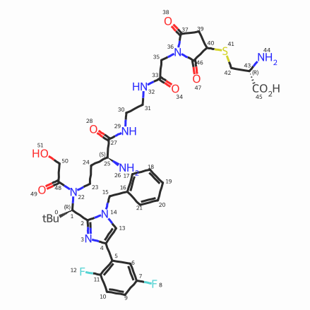 CC(C)(C)[C@H](c1nc(-c2cc(F)ccc2F)cn1Cc1ccccc1)N(CC[C@H](N)C(=O)NCCNC(=O)CN1C(=O)CC(SC[C@H](N)C(=O)O)C1=O)C(=O)CO